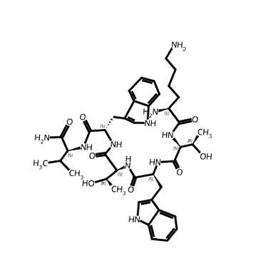 CC(C)[C@H](NC(=O)[C@H](Cc1c[nH]c2ccccc12)NC(=O)[C@@H](NC(=O)[C@H](Cc1c[nH]c2ccccc12)NC(=O)[C@@H](NC(=O)[C@@H](N)CCCCN)[C@@H](C)O)[C@@H](C)O)C(N)=O